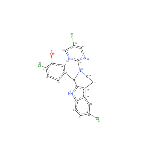 Oc1cc(C2c3[nH]c4ccc(Cl)cc4c3CCN2c2ncc(F)cn2)ccc1Cl